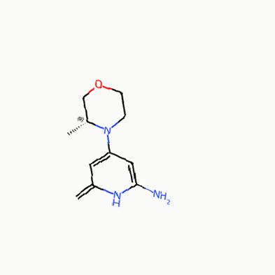 C=C1C=C(N2CCOC[C@H]2C)C=C(N)N1